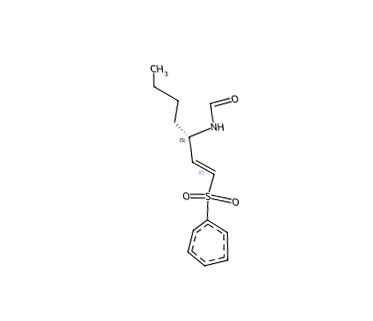 CCCC[C@@H](/C=C/S(=O)(=O)c1ccccc1)NC=O